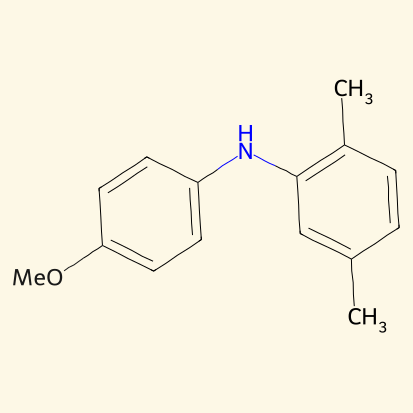 COc1ccc(Nc2cc(C)ccc2C)cc1